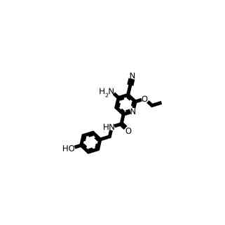 CCOc1nc(C(=O)NCc2ccc(O)cc2)cc(N)c1C#N